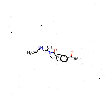 C=C/C=N\C=C(/C)N1CC[C@]2(Cc3ccc(C(=O)OC)cc3C2)C1=O